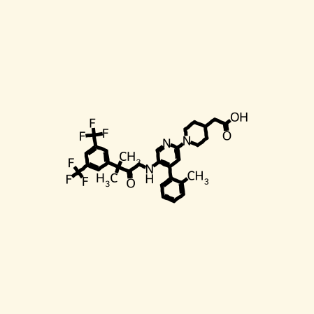 Cc1ccccc1-c1cc(N2CCC(CC(=O)O)CC2)ncc1NCC(=O)C(C)(C)c1cc(C(F)(F)F)cc(C(F)(F)F)c1